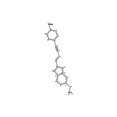 CNc1ccc(C#CC=Cc2nc3ccc(CN)cc3s2)cn1